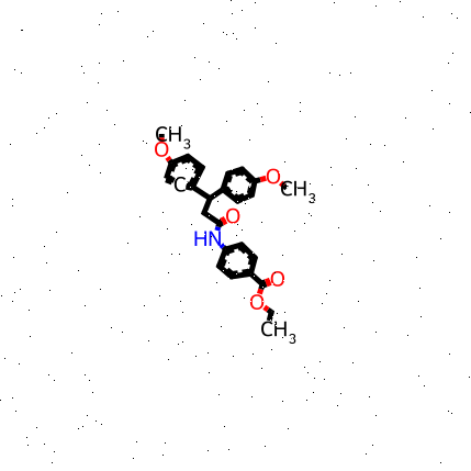 CCOC(=O)c1ccc(NC(=O)CC(c2ccc(OC)cc2)c2ccc(OC)cc2)cc1